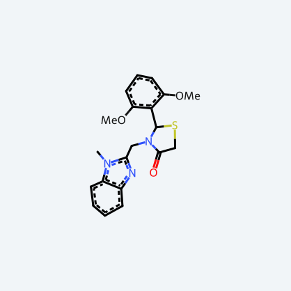 COc1cccc(OC)c1C1SCC(=O)N1Cc1nc2ccccc2n1C